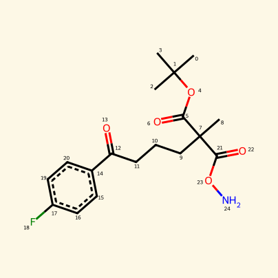 CC(C)(C)OC(=O)C(C)(CCCC(=O)c1ccc(F)cc1)C(=O)ON